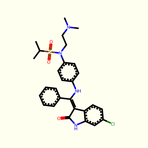 CC(C)S(=O)(=O)N(CCN(C)C)c1ccc(NC(=C2C(=O)Nc3cc(Cl)ccc32)c2ccccc2)cc1